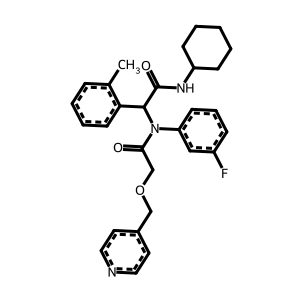 Cc1ccccc1C(C(=O)NC1CCCCC1)N(C(=O)COCc1ccncc1)c1cccc(F)c1